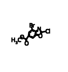 COC(=O)c1cc(Br)c2nc(Cl)oc2c1